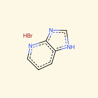 Br.c1cnc2nc[nH]c2c1